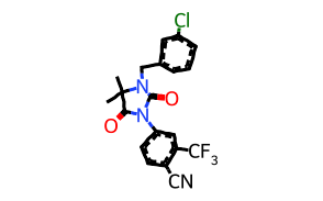 CC1(C)C(=O)N(c2ccc(C#N)c(C(F)(F)F)c2)C(=O)N1Cc1cccc(Cl)c1